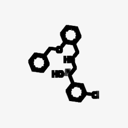 O[C@H](CNCc1ccccc1OCc1ccccc1)c1cccc(Cl)c1